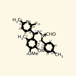 COc1cc(C)c(/C(=N\N(C=O)Cc2ccc(C)cc2)c2ccc(C)nc2F)cc1OC